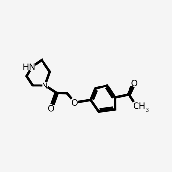 CC(=O)c1ccc(OCC(=O)N2CCNCC2)cc1